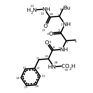 CCC(C)C(NC(=O)C(C)NC(=O)C(Cc1ccccc1)NC(=O)O)C(=O)NN